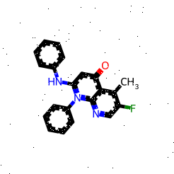 Cc1c(F)cnc2c1c(=O)cc(Nc1ccccc1)n2-c1ccccc1